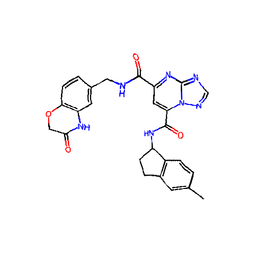 Cc1ccc2c(c1)CCC2NC(=O)c1cc(C(=O)NCc2ccc3c(c2)NC(=O)CO3)nc2ncnn12